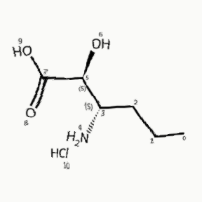 CCC[C@H](N)[C@H](O)C(=O)O.Cl